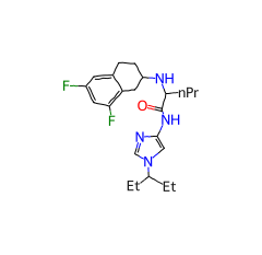 CCCC(NC1CCc2cc(F)cc(F)c2C1)C(=O)Nc1cn(C(CC)CC)cn1